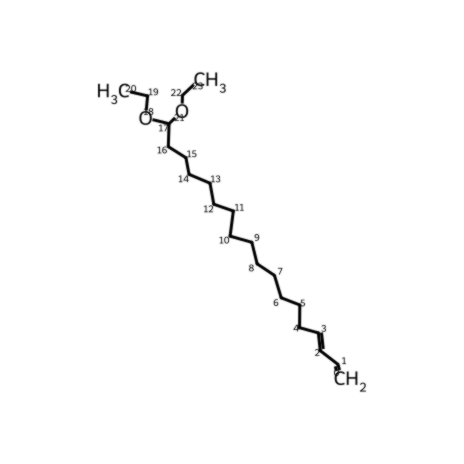 C=C/C=C/CCCCCCCCCCCCCC(OCC)OCC